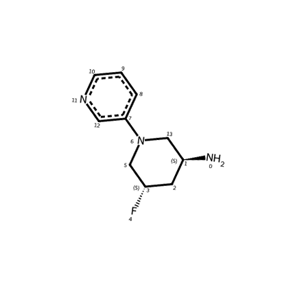 N[C@H]1C[C@H](F)CN(c2cccnc2)C1